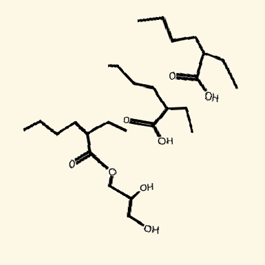 CCCCC(CC)C(=O)O.CCCCC(CC)C(=O)O.CCCCC(CC)C(=O)OCC(O)CO